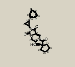 C#CC1(C(=O)N2C=C3C(=O)N(C4C[C@@H]4c4ccccc4)C(=O)N3CC2)CCCCC1